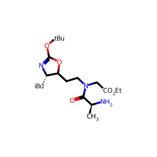 CCOC(=O)CN(CCC1OC(OC(C)(C)C)=N[C@H]1C(C)CC)C(=O)[C@H](C)N